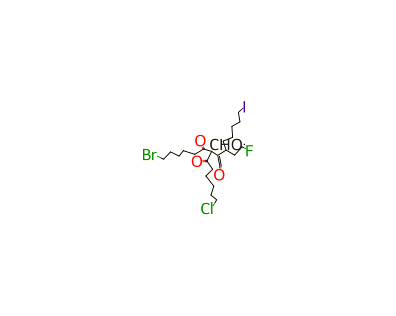 O=[C]C(C(=O)CCCCCCl)(C(=O)CCCCCBr)C(=C=O)C(CCF)CCCCCI